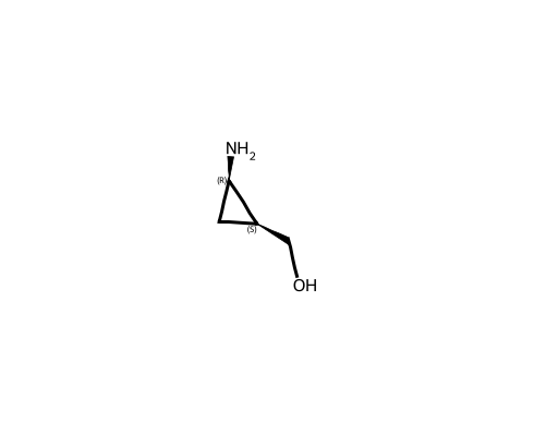 N[C@@H]1C[C@@H]1CO